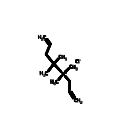 C=CCC(C)(C)[N+](C)(C)CC=C.[Cl-]